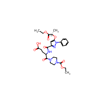 CCOC(=O)[C@H](C)Oc1cc(C(=O)NC(CCC(=O)O)C(=O)N2CCN(C(=O)OCC)CC2)nn1-c1ccccc1